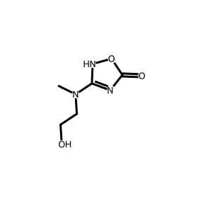 CN(CCO)c1nc(=O)o[nH]1